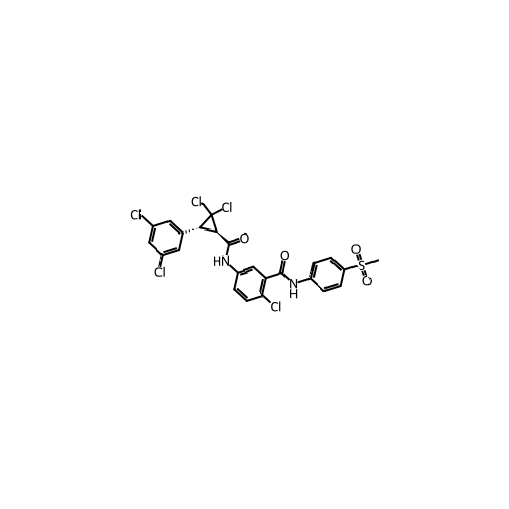 CS(=O)(=O)c1ccc(NC(=O)c2cc(NC(=O)[C@H]3[C@H](c4cc(Cl)cc(Cl)c4)C3(Cl)Cl)ccc2Cl)cc1